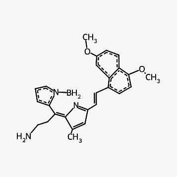 Bn1cccc1/C(CCN)=C1N=C(/C=C/c2ccc(OC)c3ccc(OC)cc23)C=C\1C